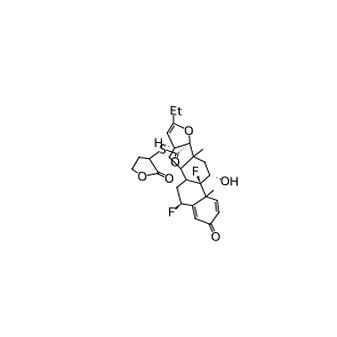 CCC1=C[C@@H]2CC3C4C[C@H](F)C5=CC(=O)C=CC5(C)[C@@]4(F)[C@@H](O)CC3(C)[C@]2(C(=O)SC2CCOC2=O)O1